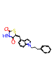 O=C1NC(=O)C(=Cc2cccc3c2ccn3CCCc2ccccc2)S1